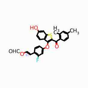 Cc1ccc(C(=O)c2sc3cc(O)ccc3c2Oc2ccc(/C=C/OC=O)c(F)c2)c(C)c1